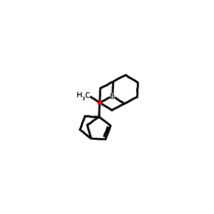 CC(B1C2CCCC1CCC2)C12C=CC(CC1)C2